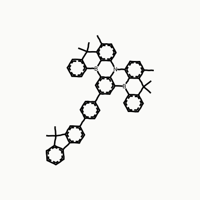 Cc1ccc2c3c1C(C)(C)c1ccccc1B3c1cc(-c3ccc(-c4ccc5c(c4)C(C)(C)c4ccccc4-5)cc3)cc3c1N2c1ccc(C)c2c1B3c1ccccc1C2(C)C